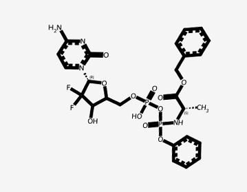 C[C@H](NP(=O)(Oc1ccccc1)OP(=O)(O)OCC1O[C@@H](n2ccc(N)nc2=O)C(F)(F)C1O)C(=O)OCc1ccccc1